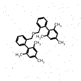 Cc1cc(C)c(-c2ccccc2COCc2ccccc2-c2c(C)cc(C)cc2C)c(C)c1